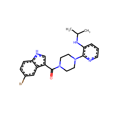 CC(C)Nc1cccnc1N1CCN(C(=O)c2c[nH]c3ccc(Br)cc23)CC1